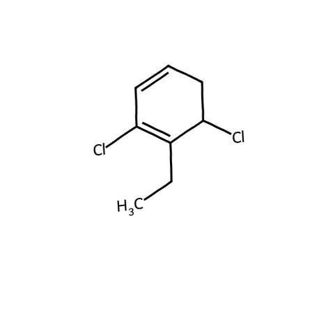 CCC1=C(Cl)C=CCC1Cl